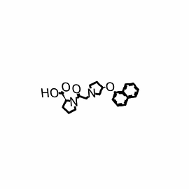 O=C(O)[C@@H]1CCCN1C(=O)CN1CC[C@H](Oc2cccc3ccccc23)C1